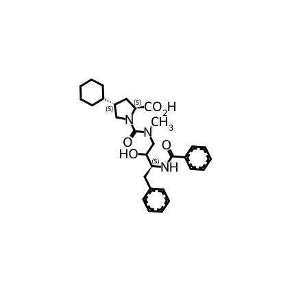 CN(CC(O)[C@H](Cc1ccccc1)NC(=O)c1ccccc1)C(=O)N1C[C@H](C2CCCCC2)C[C@H]1C(=O)O